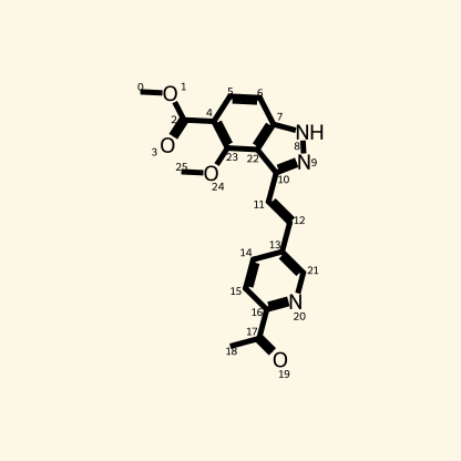 COC(=O)c1ccc2[nH]nc(/C=C/c3ccc(C(C)=O)nc3)c2c1OC